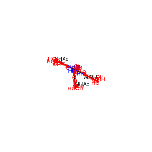 CC(=O)N[C@H]1[C@H](OCCOCCOCCOCC(=O)NCCCCC(NC(=O)COCCOCCOCCO[C@@H]2O[C@H](CO)[C@H](O)[C@H](O)[C@H]2NC(C)=O)C(=O)NC(CCCCNC(=O)COCCOCCOCCOC2O[C@H](CO)[C@H](O)[C@H](O)[C@H]2NC(C)=O)C(=O)ON2C(=O)CCC2=O)O[C@H](CO)[C@H](O)[C@@H]1O